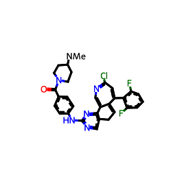 CNC1CCN(C(=O)c2ccc(Nc3ncc4c(n3)C3=CN=C(Cl)C=C(c5c(F)cccc5F)C3=CC4)cc2)CC1